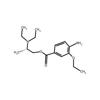 CCOc1cc(C(=O)OC[C@H](C)N(CC)CC)ccc1N